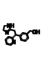 OCc1cccc(C(CC2=NCCN2)c2ccccn2)c1